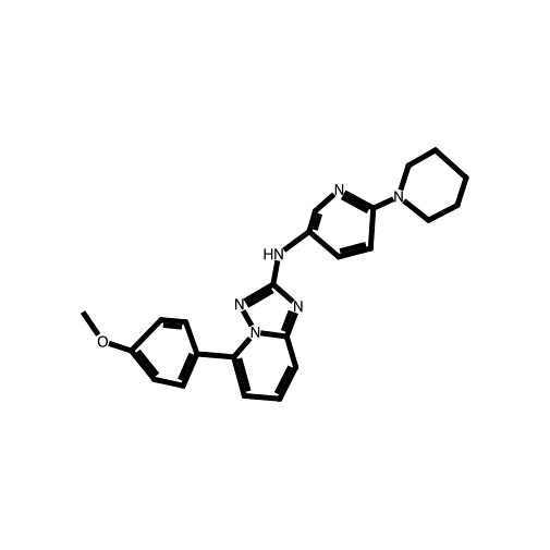 COc1ccc(-c2cccc3nc(Nc4ccc(N5CCCCC5)nc4)nn23)cc1